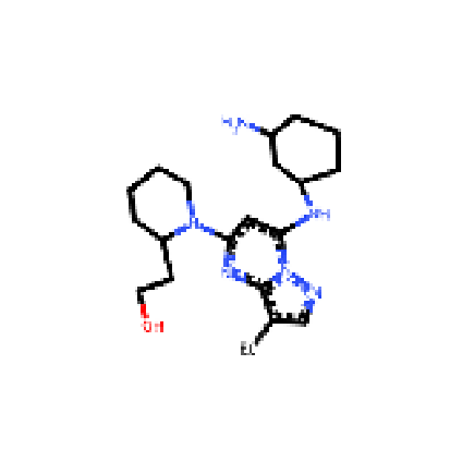 CCc1cnn2c(NC3CCCC(N)C3)cc(N3CCCCC3CCO)nc12